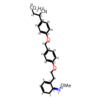 CO/N=C1/CC=CC=C1CCOc1ccc(COc2ccc(C(C#N)CC(=O)O)cc2)cc1